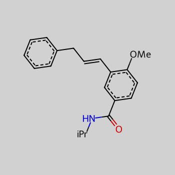 COc1ccc(C(=O)NC(C)C)cc1C=CCc1ccccc1